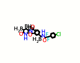 BC(NC(=O)C(F)(F)c1ccc(Cl)cc1)c1ccc2c(c1)CN([C@]1(B)C(=O)NC(=O)C(B)C1B)C2=O